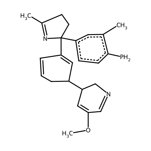 COC1=CC(C2C=C(C3(c4ccc(P)c(C)c4)CCC(C)=N3)C=CC2)CN=C1